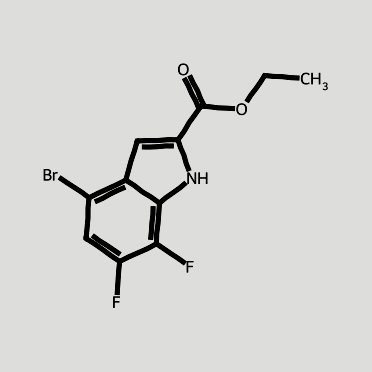 CCOC(=O)c1cc2c(Br)cc(F)c(F)c2[nH]1